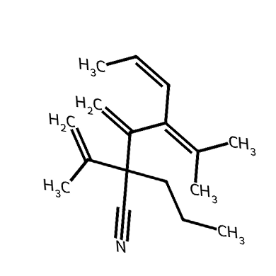 C=C(C)C(C#N)(CCC)C(=C)C(/C=C\C)=C(C)C